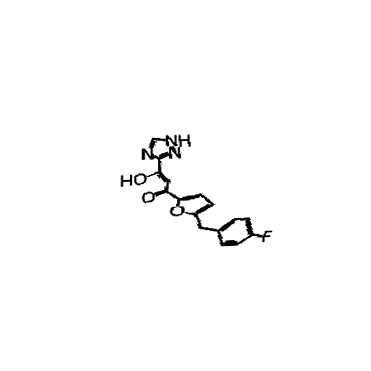 O=C(C=C(O)c1nc[nH]n1)c1ccc(Cc2ccc(F)cc2)o1